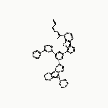 C=C/C=C\C=C(/C)c1cccc2c1oc1c(-c3cc(-c4cccc(-c5ccccc5)c4)cc(-c4ccc5c(c4)c4ccccc4n5-c4ccccc4)c3)cccc12